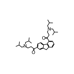 CC(C)CN(CCC(=O)c1ccc2c(c1)Cc1cccc(C(=O)CCN(CC(C)C)CC(C)C)c1-2)CC(C)C